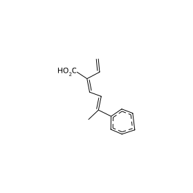 C=C/C(=C\C=C(/C)c1ccccc1)C(=O)O